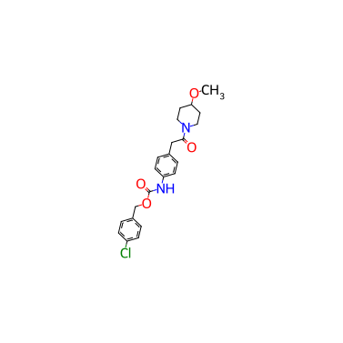 COC1CCN(C(=O)Cc2ccc(NC(=O)OCc3ccc(Cl)cc3)cc2)CC1